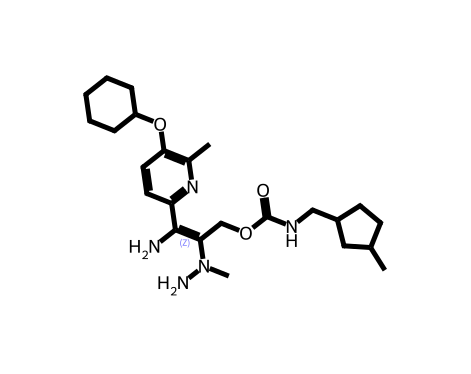 Cc1nc(/C(N)=C(\COC(=O)NCC2CCC(C)C2)N(C)N)ccc1OC1CCCCC1